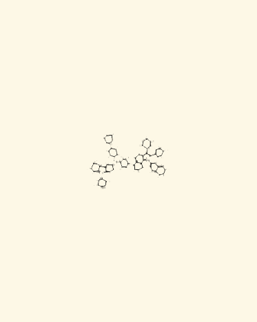 c1ccc(-c2ccc(N(c3ccc(-c4cccc5c4ccc4c(-c6ccccc6)c(-c6ccccc6)n(-c6ccc7ccccc7c6)c45)cc3)c3ccc4c(c3)c3ccccc3n4-c3ccccc3)cc2)cc1